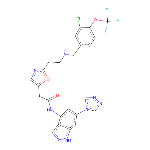 O=C(Cc1cnc(CCNCc2ccc(OC(F)(F)F)c(Cl)c2)o1)Nc1cc(-n2cnnc2)cc2[nH]ncc12